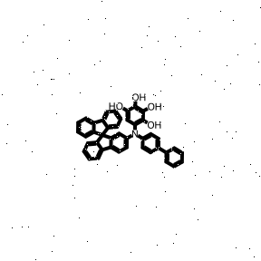 Oc1cc(N(c2ccc(-c3ccccc3)cc2)c2ccc3c(c2)C2(c4ccccc4-c4ccccc42)c2ccccc2-3)c(O)c(O)c1O